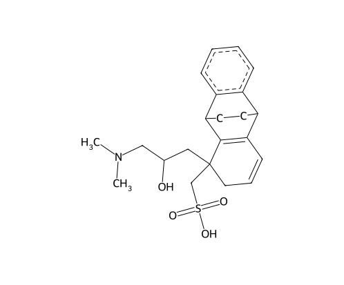 CN(C)CC(O)CC1(CS(=O)(=O)O)CC=CC2=C1C1CCC2c2ccccc21